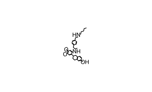 CCCCCNCCc1ccc(CC(C)Nc2cc(OC)c(OC)cc2C2CCc3cc(O)ccc3C2)cc1